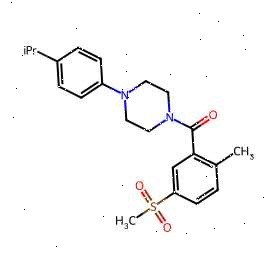 Cc1ccc(S(C)(=O)=O)cc1C(=O)N1CCN(c2ccc(C(C)C)cc2)CC1